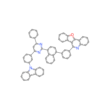 c1ccc(-c2cc(-c3cccc(-n4c5ccccc5c5ccccc54)c3)nc(-c3ccc(-c4cccc(-c5nc6ccccc6c6oc7ccccc7c56)c4)c4ccccc34)n2)cc1